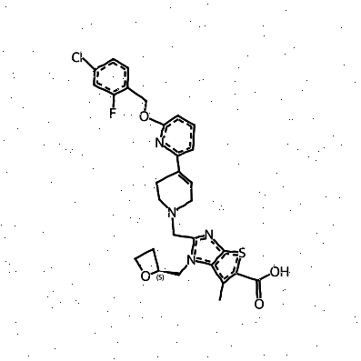 Cc1c(C(=O)O)sc2nc(CN3CC=C(c4cccc(OCc5ccc(Cl)cc5F)n4)CC3)n(C[C@@H]3CCO3)c12